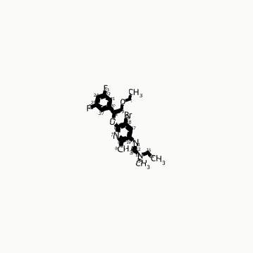 CCOCC(Oc1nc(C)c(N=CN(C)CC)cc1Br)c1cc(F)cc(F)c1